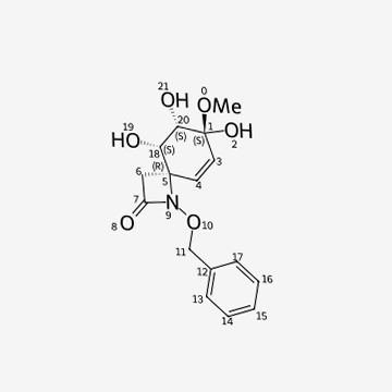 CO[C@@]1(O)C=C[C@]2(CC(=O)N2OCc2ccccc2)[C@H](O)[C@@H]1O